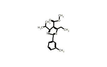 CCc1nc(-c2cccc(C)c2)nc(C(C)C)c1C(=O)OC